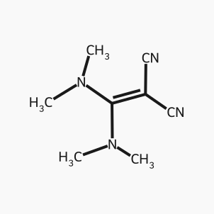 CN(C)C(=C(C#N)C#N)N(C)C